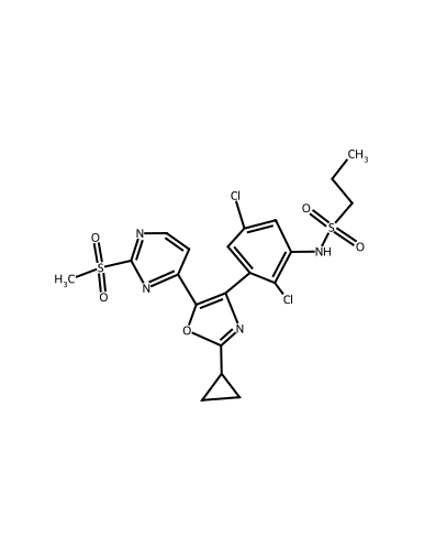 CCCS(=O)(=O)Nc1cc(Cl)cc(-c2nc(C3CC3)oc2-c2ccnc(S(C)(=O)=O)n2)c1Cl